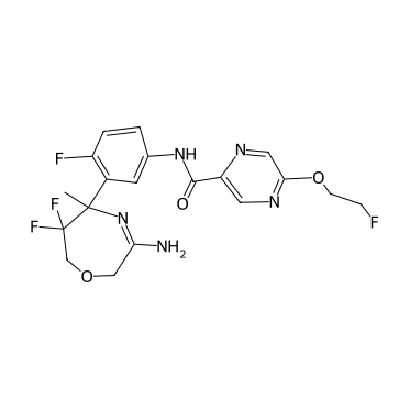 CC1(c2cc(NC(=O)c3cnc(OCCF)cn3)ccc2F)N=C(N)COCC1(F)F